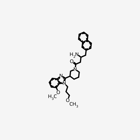 COCCCn1c(C2CCCN(C(=O)CC(N)Cc3ccc4ccccc4c3)C2)nc2cccc(OC)c21